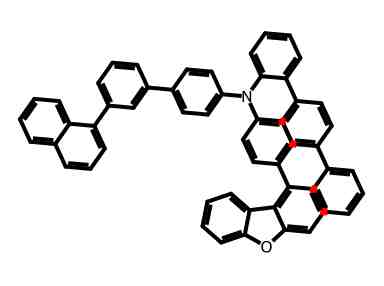 c1ccc(-c2ccc(-c3ccccc3N(c3ccc(-c4cccc(-c5cccc6ccccc56)c4)cc3)c3ccc(-c4cccc5oc6ccccc6c45)cc3)cc2)cc1